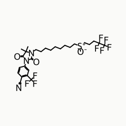 CC1(C)C(=O)N(c2ccc(C#N)c(C(F)(F)F)c2)C(=O)N1CCCCCCCCC[S+]([O-])CCCC(F)(F)C(F)(F)F